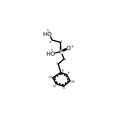 O=P(O)(CCO)CCc1ccccc1